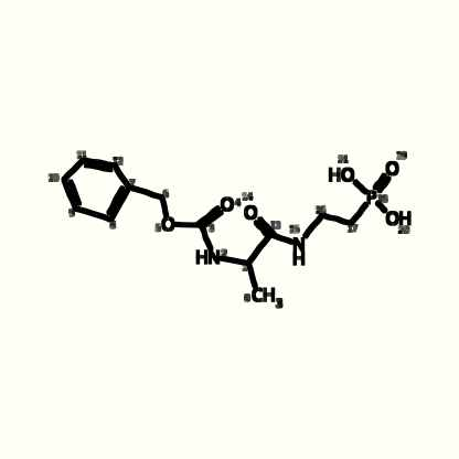 CC(NC(=O)OCc1ccccc1)C(=O)NCCP(=O)(O)O